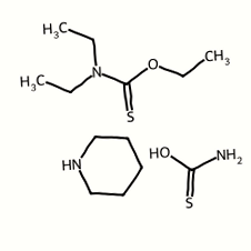 C1CCNCC1.CCOC(=S)N(CC)CC.NC(O)=S